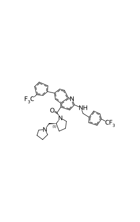 O=C(c1cc(NCc2ccc(C(F)(F)F)cc2)nc2ccc(-c3cccc(C(F)(F)F)c3)cc12)N1CCC[C@H]1CN1CCCC1